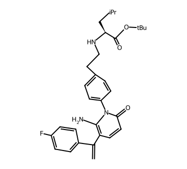 C=C(c1ccc(F)cc1)c1ccc(=O)n(-c2ccc(CCN[C@@H](CC(C)C)C(=O)OC(C)(C)C)cc2)c1N